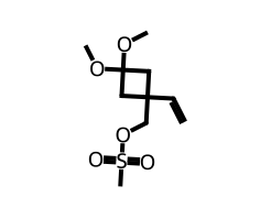 C=CC1(COS(C)(=O)=O)CC(OC)(OC)C1